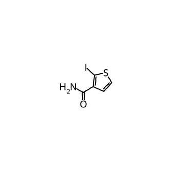 NC(=O)c1ccsc1I